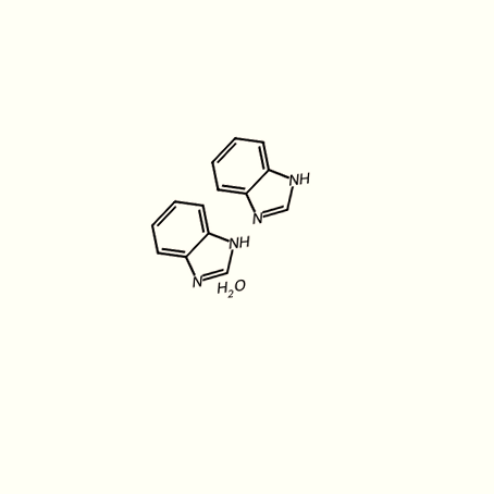 O.c1ccc2[nH]cnc2c1.c1ccc2[nH]cnc2c1